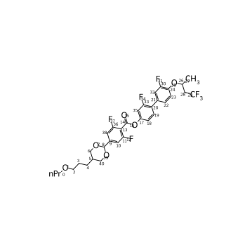 CCCOCCCC1COC(c2cc(F)c(C(=O)Oc3ccc(-c4ccc(OC(C)CC(F)(F)F)c(F)c4)c(F)c3)c(F)c2)OC1